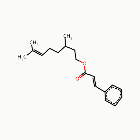 CC(C)=CCCC(C)CCOC(=O)C=Cc1ccccc1